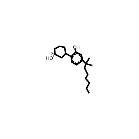 CCCCCCC(C)(I)c1ccc(C2CCC[C@@H](O)C2)c(O)c1